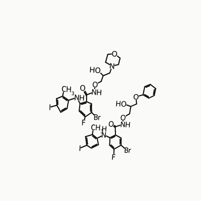 Cc1cc(I)ccc1Nc1cc(F)c(Br)cc1C(=O)NOCC(O)CN1CCOCC1.Cc1cc(I)ccc1Nc1cc(F)c(Br)cc1C(=O)NOCC(O)COc1ccccc1